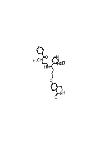 CN(CCNC(CCCOc1ccc2c(c1)CCNC2=O)c1ccncc1)C(=O)c1ccccc1.Cl.Cl